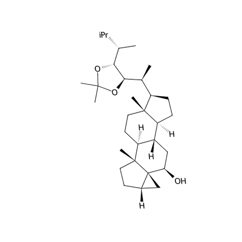 CC(C)[C@H](C)[C@H]1OC(C)(C)O[C@@H]1[C@@H](C)[C@H]1CC[C@H]2[C@@H]3C[C@@H](O)[C@]45C[C@@H]4CC[C@]5(C)[C@H]3CC[C@]12C